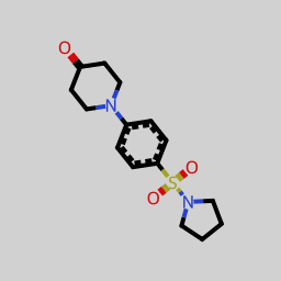 O=C1CCN(c2ccc(S(=O)(=O)N3CCCC3)cc2)CC1